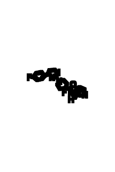 CC1(NC(=O)C2(F)CCN(c3nccc(-c4ccc(F)cc4)n3)CC2)CN2CCC1CC2